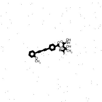 COc1ccccc1C#CC#Cc1ccc(C(=O)N[C@H](C(=O)NO)C(C)(O)C(F)F)cc1